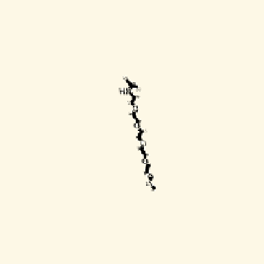 CSOCCOCCOCCOCCOCCNC(C)C